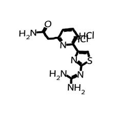 Cl.Cl.NC(=O)Cc1cccc(-c2csc(N=C(N)N)n2)n1